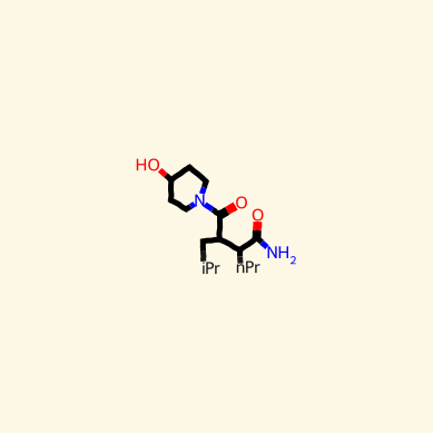 CCCC(C(N)=O)C(CC(C)C)C(=O)N1CCC(O)CC1